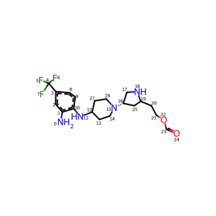 Nc1cc(C(F)(F)F)ccc1NC1CCN([C@@H]2CNC(CCOC=O)C2)CC1